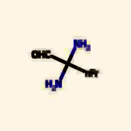 CCCC(N)(N)C=O